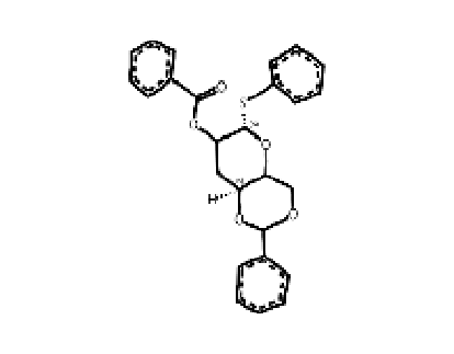 O=C(OC1C[C@@H]2OC(c3ccccc3)OCC2O[C@H]1Sc1ccccc1)c1ccccc1